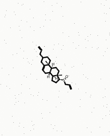 C=CCC1CC[C@@]2(C)C(=CC[C@H]3[C@@H]4CC[C@H]([S+]([O-])CC=C)[C@@]4(C)CC[C@@H]32)C1